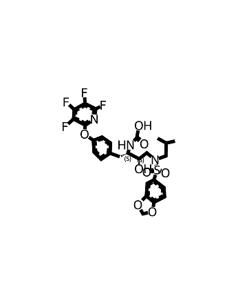 CC(C)CN(C[C@H](O)[C@H](Cc1ccc(Oc2nc(F)c(F)c(F)c2F)cc1)NC(=O)O)S(=O)(=O)c1ccc2c(c1)OCO2